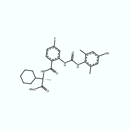 CCCc1cc(C)c(NC(=O)Nc2cc(F)ccc2C(=O)N[C@@](C)(C(=O)OC)C2CCCCC2)c(C)c1